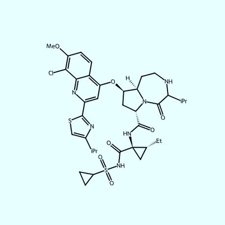 CC[C@@H]1C[C@]1(NC(=O)[C@@H]1C[C@@H](Oc2cc(-c3nc(C(C)C)cs3)nc3c(Cl)c(OC)ccc23)[C@H]2CCNC(C(C)C)C(=O)N21)C(=O)NS(=O)(=O)C1CC1